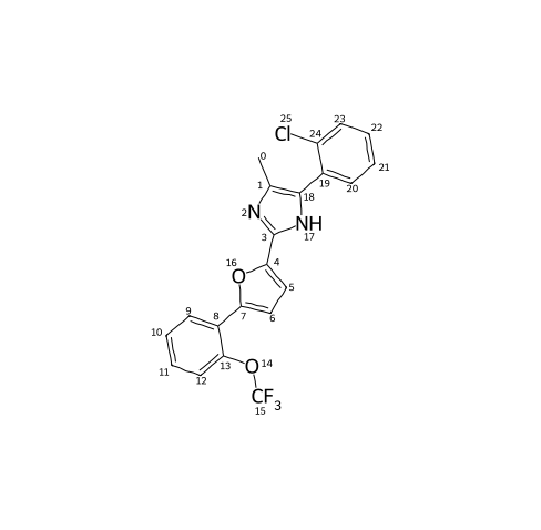 Cc1nc(-c2ccc(-c3ccccc3OC(F)(F)F)o2)[nH]c1-c1ccccc1Cl